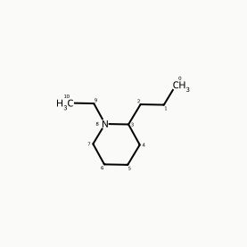 CCCC1CCCCN1CC